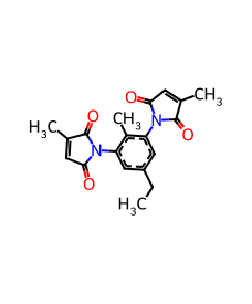 CCc1cc(N2C(=O)C=C(C)C2=O)c(C)c(N2C(=O)C=C(C)C2=O)c1